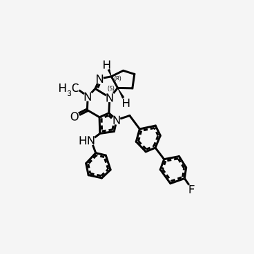 CN1C(=O)c2c(Nc3ccccc3)cn(Cc3ccc(-c4ccc(F)cc4)cc3)c2N2C1=N[C@@H]1CCC[C@@H]12